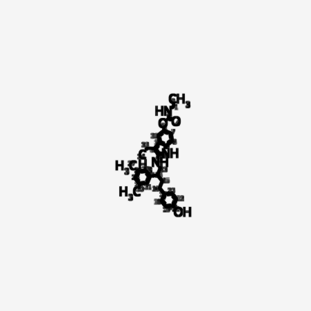 CCNC(=O)Oc1ccc2[nH]c(NCC(CCc3ccc(O)cc3)c3cc(C)cc(C)c3)c(CC)c2c1